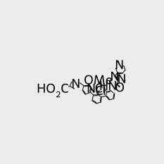 COc1nc(-c2cccc(-c3cccc(NC(=O)c4nc5c(n4C)CCN(C)C5)c3Cl)c2Cl)ccc1CN1CC(C(=O)O)C1